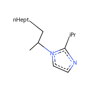 CCCCCCCCC(C)n1ccnc1C(C)C